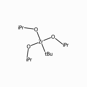 CC(C)[O][Zr]([O]C(C)C)([O]C(C)C)[C](C)(C)C